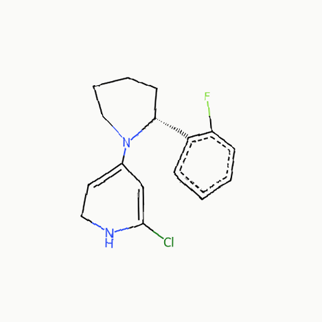 Fc1ccccc1[C@H]1CCCCN1C1=CCNC(Cl)=C1